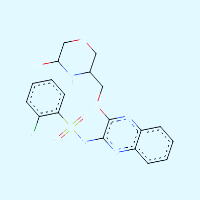 O=S(=O)(Nc1nc2ccccc2nc1OCC1COCC(O)N1)c1ccccc1Cl